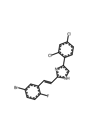 Fc1ccc(Br)cc1C=Cc1nc(-c2ccc(Cl)cc2Cl)c[nH]1